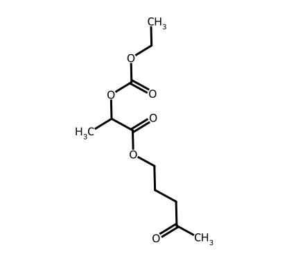 CCOC(=O)OC(C)C(=O)OCCCC(C)=O